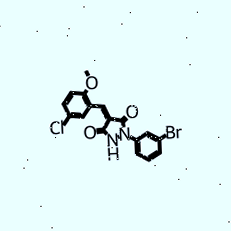 COc1ccc(Cl)cc1/C=C1\C(=O)NN(c2cccc(Br)c2)C1=O